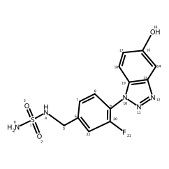 NS(=O)(=O)NCc1ccc(-n2nnc3cc(O)ccc32)c(F)c1